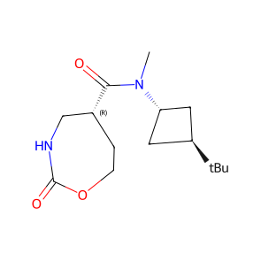 CN(C(=O)[C@@H]1CCOC(=O)NC1)[C@H]1C[C@H](C(C)(C)C)C1